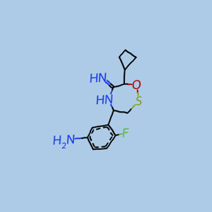 N=C1NC(c2cc(N)ccc2F)CSOC1C1CCC1